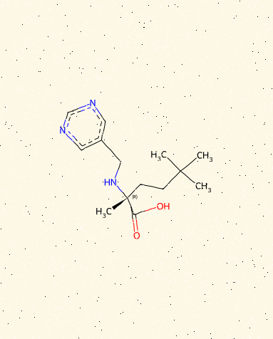 CC(C)(C)CC[C@@](C)(NCc1cncnc1)C(=O)O